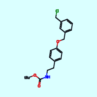 CC(C)(C)OC(=O)NCCc1ccc(OCc2cccc(CCl)c2)cc1